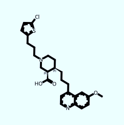 COc1ccc2nccc(CCC[C@@H]3CCN(CCCc4ccc(Cl)s4)C[C@@H]3C(=O)O)c2c1